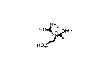 COC(=S)NCCS(=O)(=O)O.NC(O)=S